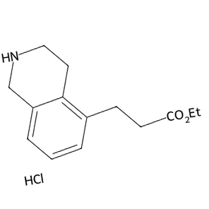 CCOC(=O)CCc1cccc2c1CCNC2.Cl